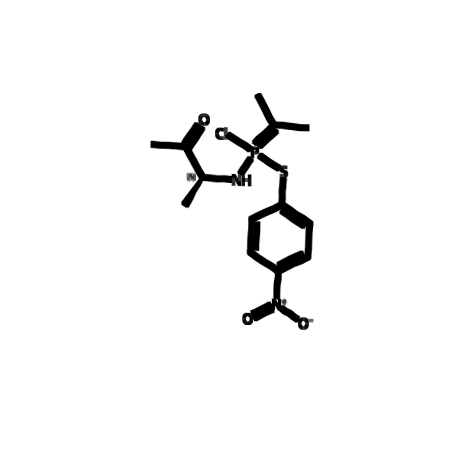 CC(=O)[C@H](C)NP(Cl)(Sc1ccc([N+](=O)[O-])cc1)=C(C)C